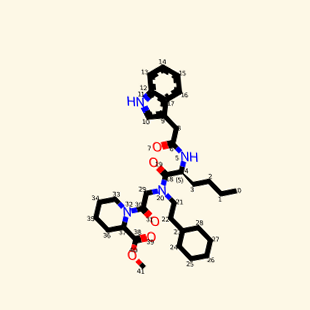 CCCC[C@H](NC(=O)Cc1c[nH]c2ccccc12)C(=O)N(CCC1CCCCC1)CC(=O)N1CCCCC1C(=O)OC